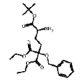 CCOC(=O)C(CCC(N)C(=O)OC(C)(C)C)(OCc1ccccc1)C(=O)OCC